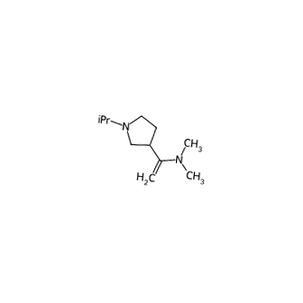 C=C(C1CCN(C(C)C)C1)N(C)C